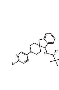 CC(C)(C)[S@@+]([O-])N[C@@H]1c2ccccc2CC12CCN(c1cnc(Br)cn1)CC2